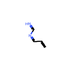 C=C/C=N\C=N